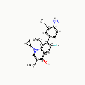 CCOC(=O)c1cn(C2CC2)c2c(OC)c(-c3ccc(N)c(C#N)c3)c(F)cc2c1=O